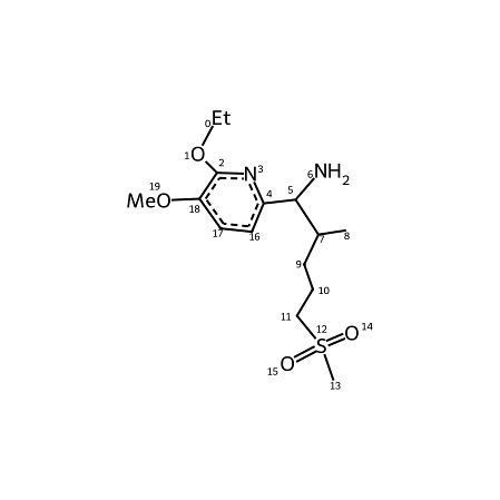 CCOc1nc(C(N)C(C)CCCS(C)(=O)=O)ccc1OC